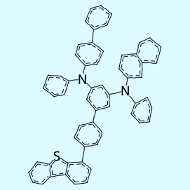 c1ccc(-c2ccc(N(c3ccccc3)c3cc(-c4ccc(-c5cccc6c5sc5ccccc56)cc4)cc(N(c4ccccc4)c4ccc5ccccc5c4)c3)cc2)cc1